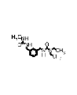 CCN(CC)C(=O)NCc1cccc(CNC(=O)NC)c1